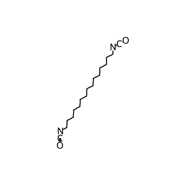 O=C=NCCCCCCCCCCCCCCCN=C=O